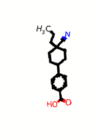 CCCC1(C#N)CCC(c2ccc(C(=O)O)cc2)CC1